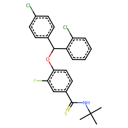 CC(C)(C)NC(=S)c1ccc(OC(c2ccc(Cl)cc2)c2ccccc2Cl)c(F)c1